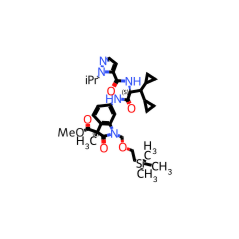 COC(=O)[C@@]1(C)C(=O)N(COCC[Si](C)(C)C)c2cc(NC(=O)[C@@H](NC(=O)c3ccnn3C(C)C)C(C3CC3)C3CC3)ccc21